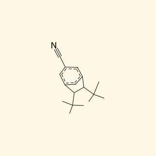 CC(C)(C)C1c2cc(C#N)cc(c2)C1C(C)(C)C